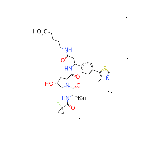 Cc1ncsc1-c1ccc([C@H](CC(=O)NCCCCC(=O)O)NC(=O)[C@@H]2C[C@@H](O)CN2C(=O)[C@@H](NC(=O)C2(F)CC2)C(C)(C)C)cc1